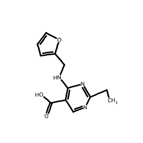 CCc1ncc(C(=O)O)c(NCc2ccco2)n1